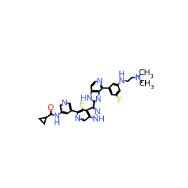 CN(C)CCNc1cc(F)cc(-c2nccc3[nH]c(-c4n[nH]c5cnc(-c6cncc(NC(=O)C7CC7)c6)c(F)c45)nc23)c1